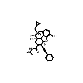 CC(C)NC(=O)C1=C(C#Cc2ccccc2)[C@@H]2Oc3c(O)ccc4c3[C@@]23CCN(CC2CC2)[C@H](C4)[C@]3(O)C1